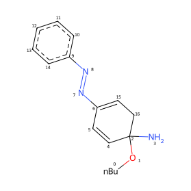 CCCCOC1(N)C=CC(N=Nc2ccccc2)=CC1